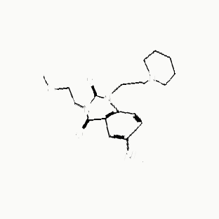 COCCn1c(=O)c2cc(N)ccc2n(CCN2CCCCC2)c1=O